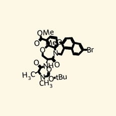 COC(=O)c1cccc2c1OC[C@H](NC(=O)[C@H](C)N(C)C(=O)OC(C)(C)C)C(=O)N2Cc1c(OC)ccc2cc(Br)ccc12